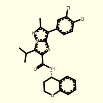 Cc1nn2c(C(C)C)c(C(=O)N[C@H]3CCOc4ccccc43)sc2c1-c1ccc(Cl)c(Cl)c1